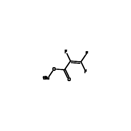 CC(C)(C)OC(=O)C(F)=C(F)F